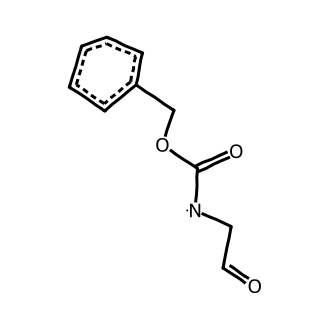 O=CC[N]C(=O)OCc1ccccc1